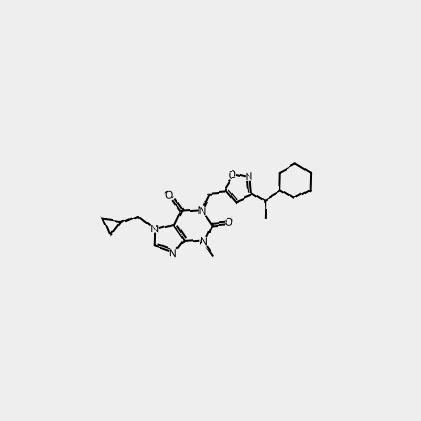 CC(c1cc(Cn2c(=O)c3c(ncn3CC3CC3)n(C)c2=O)on1)C1CCCCC1